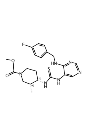 COC(=O)N1CC[C@H](NC(=S)Nc2cncnc2NCc2ccc(F)cc2)[C@H](C)C1